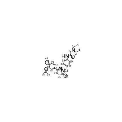 CCN(CC)CC(=O)Nc1ccc(CN2N=C(c3ccc(OC)c(OC(C)C)c3)CCC2=O)cc1